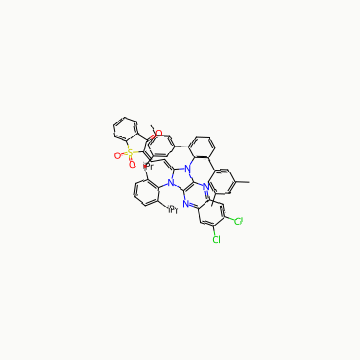 Cc1cc(C)cc(-c2cccc(-c3cc(C)cc(C)c3)c2N2/C(=C/C=C3\C(=O)c4ccccc4S3(=O)=O)N(c3c(C(C)C)cccc3C(C)C)c3nc4cc(Cl)c(Cl)cc4nc32)c1